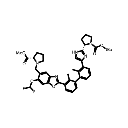 COC(=O)[C@@H]1CCCN1Cc1cc2nc(-c3cccc(-c4cccc(-c5c[nH]c([C@@H]6CCCN6C(=O)OC(C)(C)C)n5)c4C)c3C)oc2cc1OC(F)F